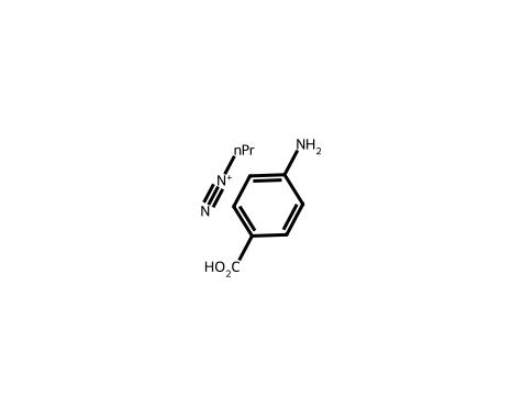 CCC[N+]#N.Nc1ccc(C(=O)O)cc1